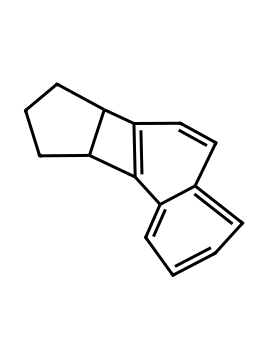 c1ccc2c3c(ccc2c1)C1CCCC31